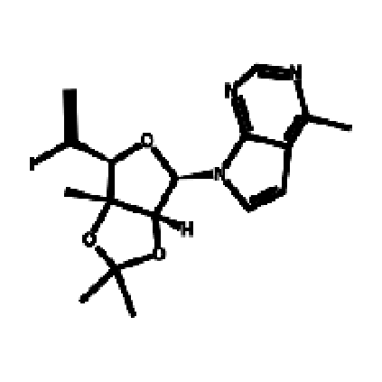 C=C(I)[C@H]1O[C@@H](n2ccc3c(C)ncnc32)[C@@H]2OC(C)(C)O[C@]12C